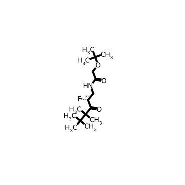 CC(C)(C)OCC(=O)NC[C@@H](F)C(=O)C(C)(C)C(C)(C)C